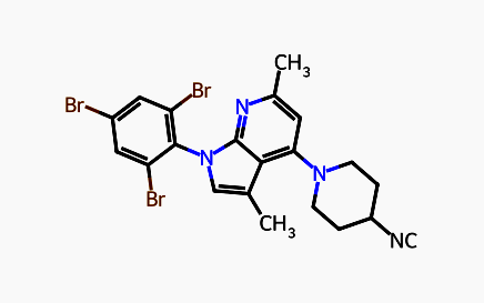 [C-]#[N+]C1CCN(c2cc(C)nc3c2c(C)cn3-c2c(Br)cc(Br)cc2Br)CC1